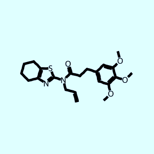 C=CCN(C(=O)CCc1cc(OC)c(OC)c(OC)c1)c1nc2c(s1)CCCC2